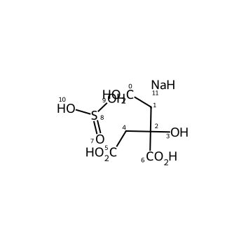 O=C(O)CC(O)(CC(=O)O)C(=O)O.O=S(O)O.[NaH]